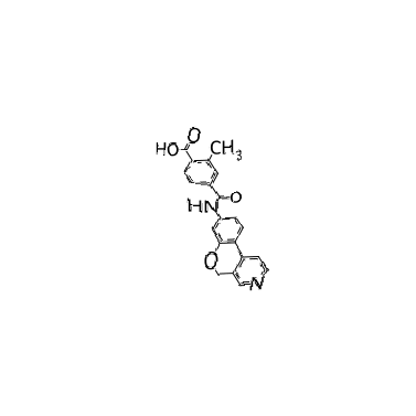 Cc1cc(C(=O)Nc2ccc3c(c2)OCc2cnccc2-3)ccc1C(=O)O